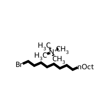 CCCCCCCCCCCCCCCCBr.C[N+](C)(C)C